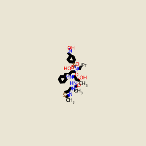 Cc1nc(CN(C)C(=O)N[C@H](C(=O)N[C@@H](Cc2ccccc2)[C@H](O)CN(CC(C)C)S(=O)(=O)c2ccc(C=NO)cc2)[C@H](C)O)cs1